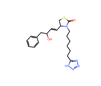 O=C1SCC(/C=C/C(O)Cc2ccccc2)N1CCCCCCc1nnn[nH]1